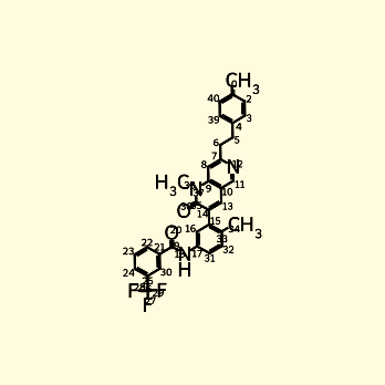 Cc1ccc(CCc2cc3c(cn2)cc(-c2cc(NC(=O)c4cccc(C(F)(F)F)c4)ccc2C)c(=O)n3C)cc1